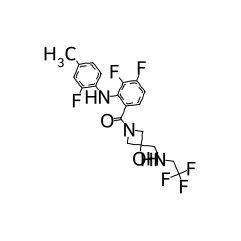 Cc1ccc(Nc2c(C(=O)N3CC(O)(CNCC(F)(F)F)C3)ccc(F)c2F)c(F)c1